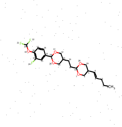 CCC/C=C/C1COC(CCC2COC(c3ccc(OC(F)F)c(F)c3)OC2)OC1